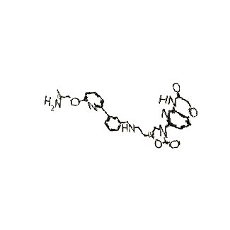 C[C@H](N)COc1cccc(-c2cccc(CNCC[C@H]3CN(c4ccc5c(n4)NC(=O)CO5)C(=O)O3)c2)n1